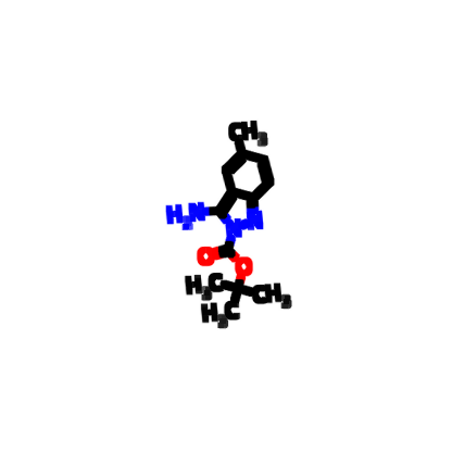 Cc1ccc2nn(C(=O)OC(C)(C)C)c(N)c2c1